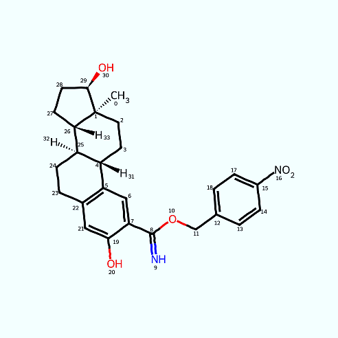 C[C@]12CC[C@@H]3c4cc(C(=N)OCc5ccc([N+](=O)[O-])cc5)c(O)cc4CC[C@H]3[C@@H]1CC[C@H]2O